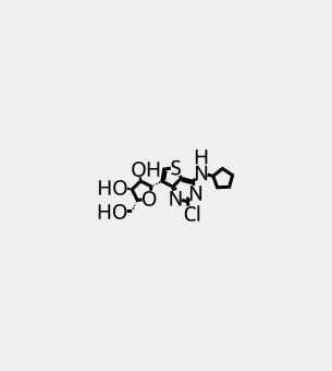 OC[C@H]1O[C@@H](c2csc3c(NC4CCCC4)nc(Cl)nc23)[C@H](O)[C@@H]1O